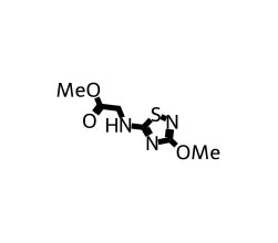 COC(=O)CNc1nc(OC)ns1